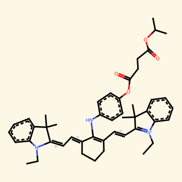 CCN1/C(=C/C=C2\CCCC(/C=C/C3=[N+](CC)c4ccccc4C3(C)C)=C2Nc2ccc(OC(=O)CCC(=O)OC(C)C)cc2)C(C)(C)c2ccccc21